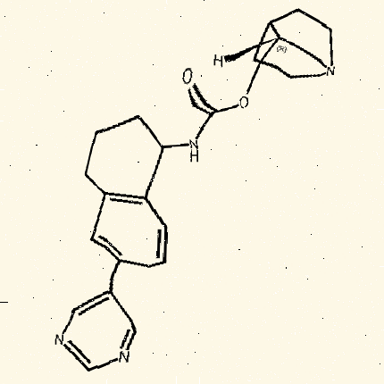 O=C(NC1CCCc2cc(-c3cncnc3)ccc21)O[C@H]1CN2CCC1CC2